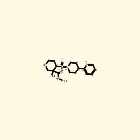 O=C(NO)C1(O)COCCC1S(=O)(=O)N1CCC(c2ccccn2)CC1